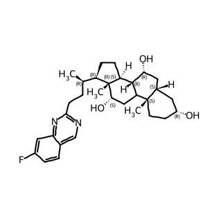 C[C@H](CCc1ncc2ccc(F)cc2n1)[C@H]1CC[C@H]2[C@H]3C(C[C@H](O)[C@]12C)[C@@]1(C)CC[C@@H](O)C[C@H]1C[C@H]3O